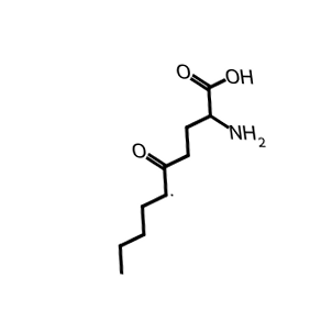 CCCC[CH]C(=O)CCC(N)C(=O)O